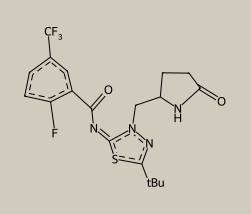 CC(C)(C)c1nn(CC2CCC(=O)N2)c(=NC(=O)c2cc(C(F)(F)F)ccc2F)s1